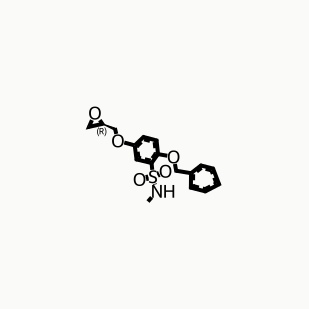 CNS(=O)(=O)c1cc(OC[C@H]2CO2)ccc1OCc1ccccc1